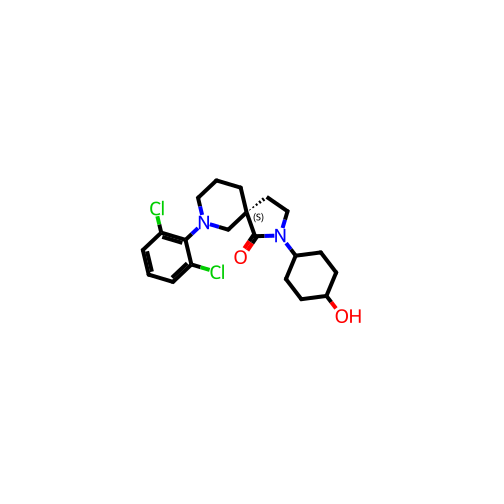 O=C1N(C2CCC(O)CC2)CC[C@]12CCCN(c1c(Cl)cccc1Cl)C2